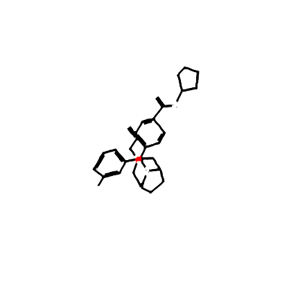 C=CCN1CC2CCC(C1)N2C(c1ccc(C(=O)NC2CCCC2)cc1)c1cccc(O)c1